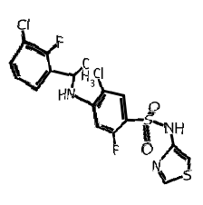 CC(Nc1cc(F)c(S(=O)(=O)Nc2cscn2)cc1Cl)c1cccc(Cl)c1F